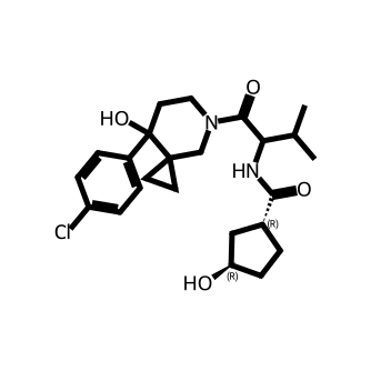 CC(C)C(NC(=O)[C@@H]1CC[C@@H](O)C1)C(=O)N1CCC(O)(c2ccc(Cl)cc2)C2(CC2)C1